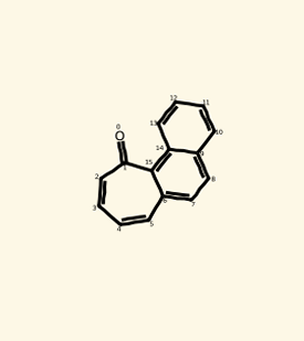 O=c1ccccc2ccc3ccccc3c12